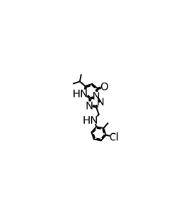 Cc1c(Cl)cccc1NCc1nc2[nH]c(C(C)C)cc(=O)n2n1